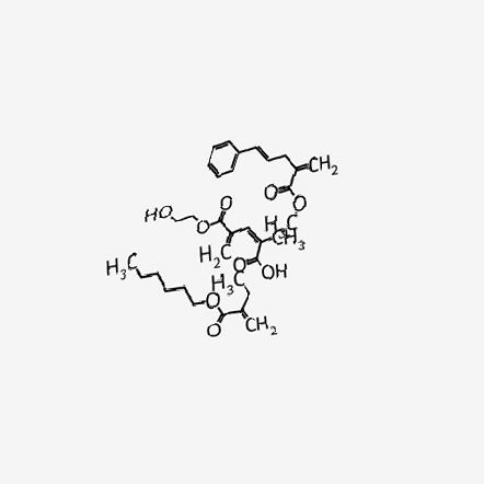 C=C(C=C(C)C(=O)O)C(=O)OCCO.C=C(CC)C(=O)OCCCCCC.C=C(CC=Cc1ccccc1)C(=O)OC